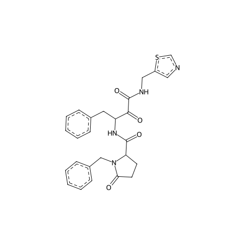 O=C(NCc1cncs1)C(=O)C(Cc1ccccc1)NC(=O)C1CCC(=O)N1Cc1ccccc1